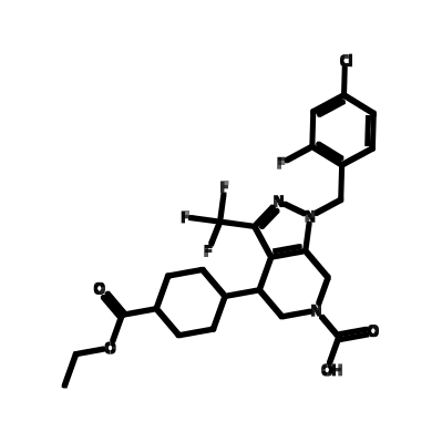 CCOC(=O)C1CCC(C2CN(C(=O)O)Cc3c2c(C(F)(F)F)nn3Cc2ccc(Cl)cc2F)CC1